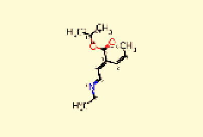 C\C=C/C(=C\C=N\CC)C(=O)OC(C)C